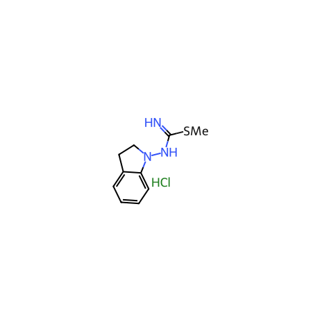 CSC(=N)NN1CCc2ccccc21.Cl